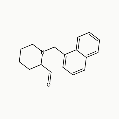 O=CC1CCCCN1Cc1cccc2ccccc12